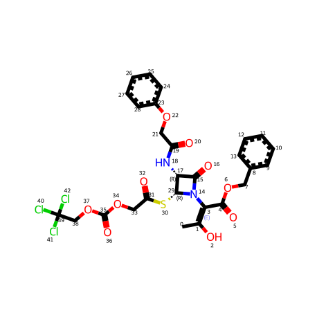 C/C(O)=C(/C(=O)OCc1ccccc1)N1C(=O)[C@@H](NC(=O)COc2ccccc2)[C@H]1SC(=O)COC(=O)OCC(Cl)(Cl)Cl